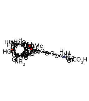 CC[C@H](C)[C@@H]1NC(=O)CCNC(=O)[C@@H]2Cc3c([nH]c4c(CSCCOCCOCCOCCOCCOCCN/C=C(\N)CNC(=O)CC(C)C(=O)O)c(OC)ccc34)[S+]([O-])C[C@@H](NC(=O)CNC1=O)C(=O)N[C@@H](CCC(N)=O)C(=O)N1C[C@H](O)C[C@H]1C(=O)N[C@@H]([C@@H](C)[C@@H](O)CO)C(=O)N2